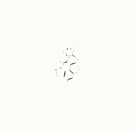 Cn1cnn2/c(=N/CC(F)(F)F)c(-c3c(F)cc(F)cc3F)c(Cl)nc12